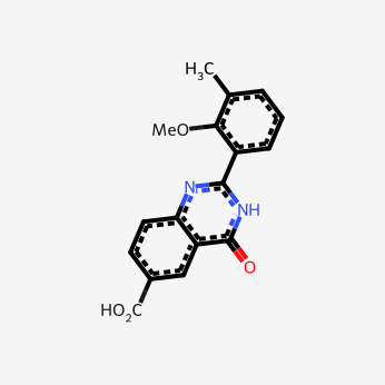 COc1c(C)cccc1-c1nc2ccc(C(=O)O)cc2c(=O)[nH]1